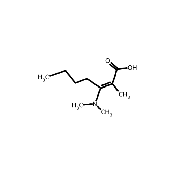 CCCCC(=C(C)C(=O)O)N(C)C